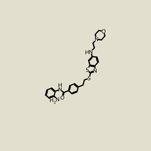 Nc1ccccc1NC(=O)c1ccc(CCSc2nc3ccc(NCCN4CCOCC4)cc3s2)cc1